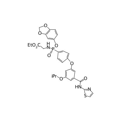 CCOC(=O)CNP(=O)(Oc1ccc2c(c1)OCO2)c1ccc(Oc2cc(OC(C)C)cc(C(=O)Nc3nccs3)c2)cc1